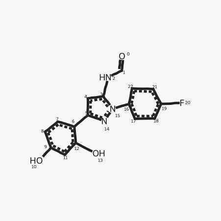 O=CNc1cc(-c2ccc(O)cc2O)nn1-c1ccc(F)cc1